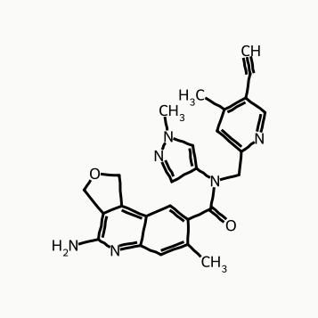 C#Cc1cnc(CN(C(=O)c2cc3c4c(c(N)nc3cc2C)COC4)c2cnn(C)c2)cc1C